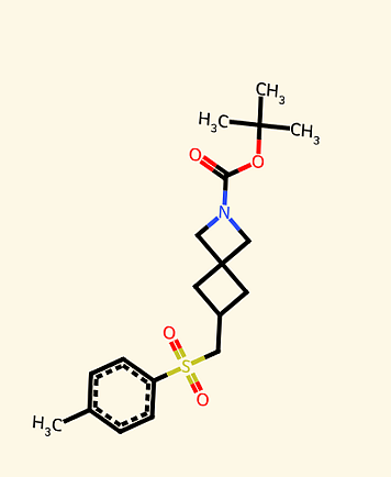 Cc1ccc(S(=O)(=O)CC2CC3(C2)CN(C(=O)OC(C)(C)C)C3)cc1